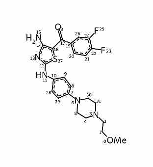 COCCN1CCN(c2ccc(Nc3nc(N)c(C(=O)c4ccc(F)c(F)c4)s3)cc2)CC1